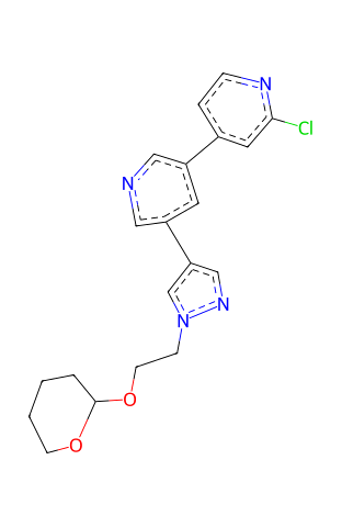 Clc1cc(-c2cncc(-c3cnn(CCOC4CCCCO4)c3)c2)ccn1